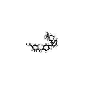 O=S1(=O)CCN2C(=N1)C1(c3ccc(Oc4ccc(Cl)cn4)cc3)CCC2CC1